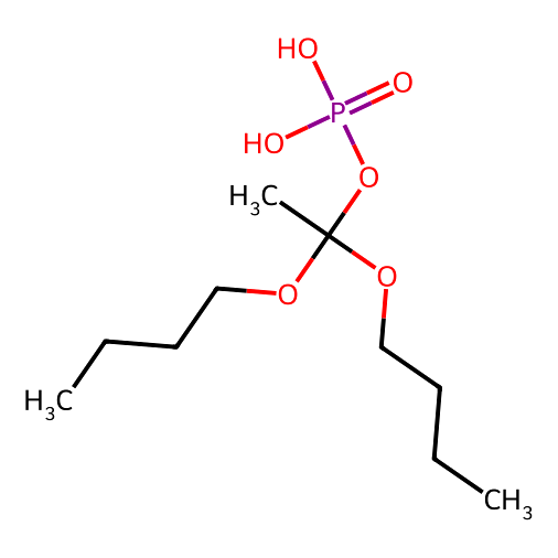 CCCCOC(C)(OCCCC)OP(=O)(O)O